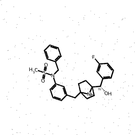 CS(=O)(=O)N(Cc1ccccc1)c1cccc(CC23CCC([C@@H](O)c4cccc(F)c4)(CC2)N3)c1